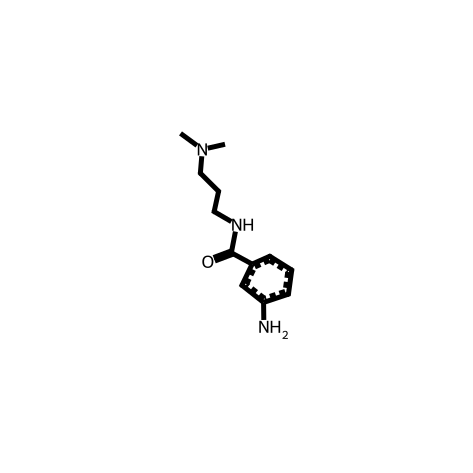 CN(C)CCCNC(=O)c1cccc(N)c1